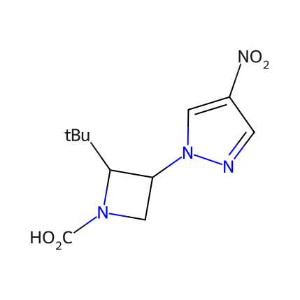 CC(C)(C)C1C(n2cc([N+](=O)[O-])cn2)CN1C(=O)O